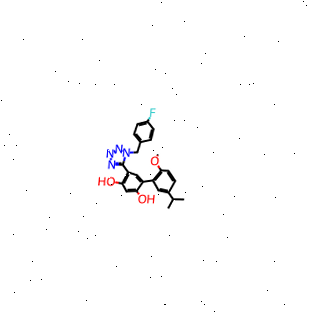 COc1ccc(C(C)C)cc1-c1cc(-c2nnnn2Cc2ccc(F)cc2)c(O)cc1O